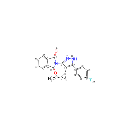 CC1CC1c1c(N2C(=O)c3ccccc3C2=O)n[nH]c1-c1ccc(F)cc1